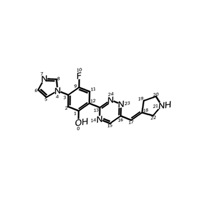 Oc1cc(-n2ccnc2)c(F)cc1-c1ncc(/C=C2\CCNC2)nn1